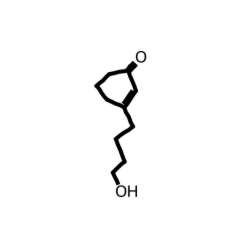 O=C1C=C(CCCCO)CCC1